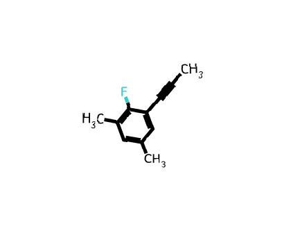 CC#Cc1cc(C)cc(C)c1F